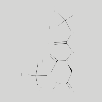 CC(C)(C)OC(=O)N[C@@H](CC(=N)NO)C(=O)OC(C)(C)C